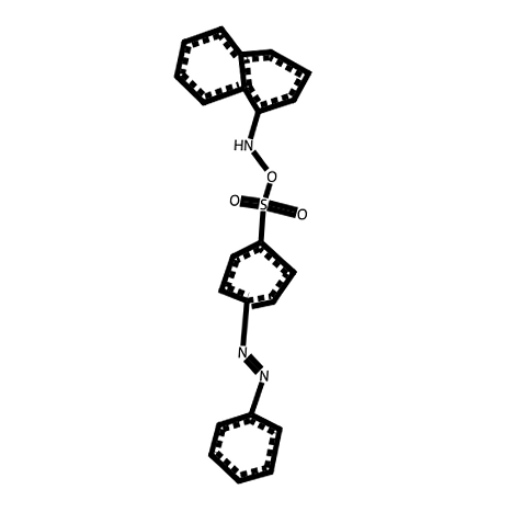 O=S(=O)(ONc1cccc2ccccc12)c1ccc(/N=N/c2ccccc2)cc1